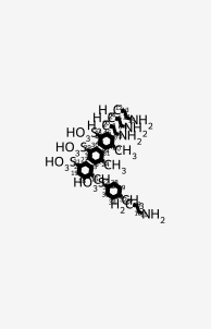 C=CCN.C=CCN.C=CCN.C=CCN.Cc1ccc(S(=O)(=O)O)cc1.Cc1ccc(S(=O)(=O)O)cc1.Cc1ccc(S(=O)(=O)O)cc1.Cc1ccc(S(=O)(=O)O)cc1